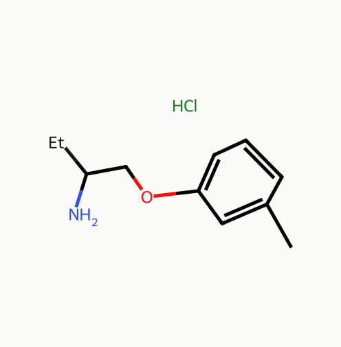 CCC(N)COc1cccc(C)c1.Cl